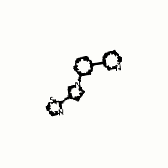 c1cncc(-c2cccc(-n3ccc(-c4nccs4)c3)c2)c1